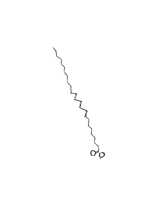 CCCCCCCCCCCCCCCCCCCCCCCCC(=O)OC